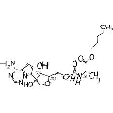 CCCCCOC(=O)[C@H](C)N[PH](=O)OC[C@H]1OC[C@@](O)(c2ccc3c(N)ncnn23)[C@@H]1O